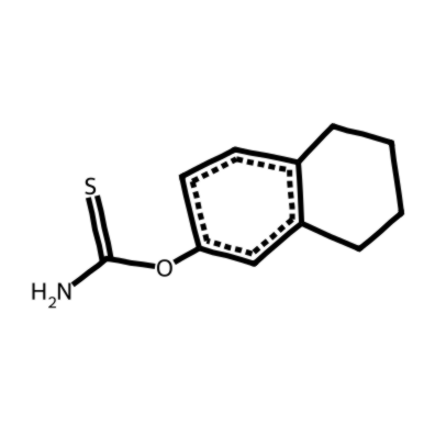 NC(=S)Oc1ccc2c(c1)CCCC2